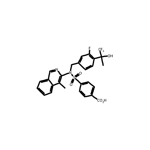 Cc1c(N(Cc2ccc(C(C)(O)C(F)(F)F)c(F)c2)S(=O)(=O)c2ccc(C(=O)O)cc2)ncc2ccccc12